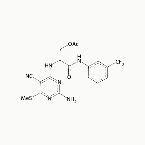 CSc1nc(N)nc(NC(COC(C)=O)C(=O)Nc2cccc(C(F)(F)F)c2)c1C#N